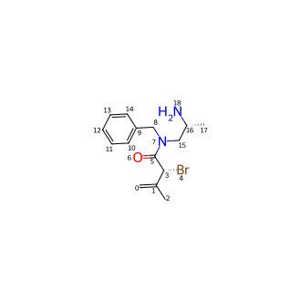 C=C(C)[C@@H](Br)C(=O)N(Cc1ccccc1)C[C@@H](C)N